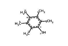 Cc1c(C)c(S)c(C)c(C)c1N